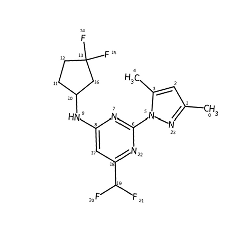 Cc1cc(C)n(-c2nc(NC3CCC(F)(F)C3)cc(C(F)F)n2)n1